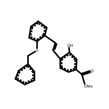 COC(=O)c1ccc(/C=C/c2ccccc2OCc2ccccc2)c(O)c1